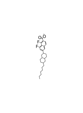 CCCCCCCC1CCC2CC(c3cc(F)c4c(F)c(C(=O)OC)ccc4c3)CCC2C1